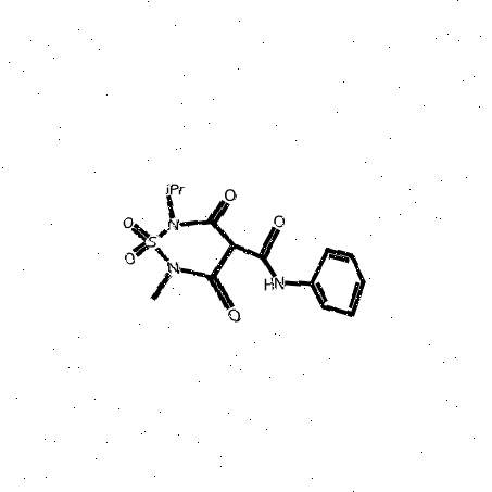 CC(C)N1C(=O)C(C(=O)Nc2ccccc2)C(=O)N(C)S1(=O)=O